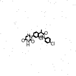 CC(C(=O)Nc1ccc(Cl)cc1)c1ccc(-n2ncc(=O)[nH]c2=O)cc1Cl